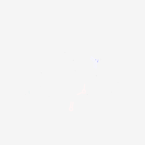 O=COc1c(C2CC2)nc2ccccc2c1-c1ccc(F)cc1